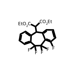 CCOC(=O)C(C(=O)OCC)C1c2ccccc2C(F)(F)C(F)(F)c2c(F)cccc21